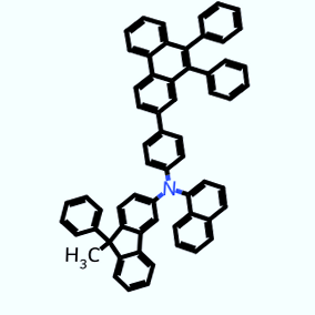 CC1(c2ccccc2)c2ccccc2-c2cc(N(c3ccc(-c4ccc5c(c4)c(-c4ccccc4)c(-c4ccccc4)c4ccccc45)cc3)c3cccc4ccccc34)ccc21